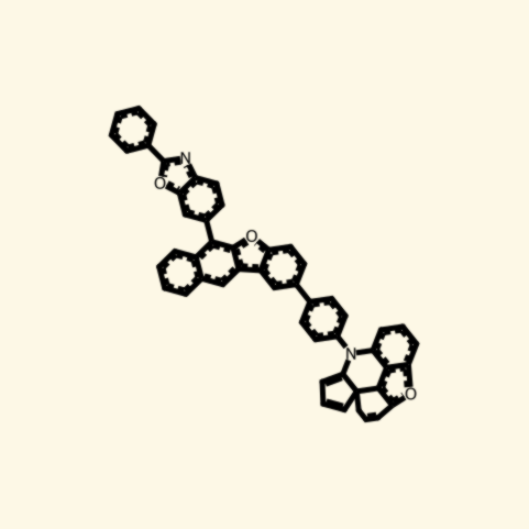 C1=CC23CC=Cc4oc5cccc(c5c42)N(c2ccc(-c4ccc5oc6c(-c7ccc8nc(-c9ccccc9)oc8c7)c7ccccc7cc6c5c4)cc2)C3=C1